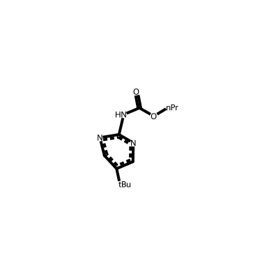 CCCOC(=O)Nc1ncc(C(C)(C)C)cn1